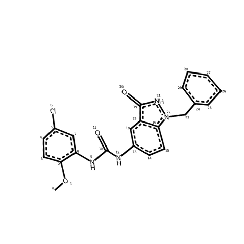 COc1ccc(Cl)cc1NC(=O)Nc1ccc2c(c1)c(=O)[nH]n2Cc1ccccc1